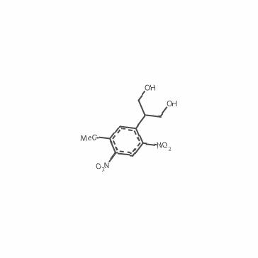 COc1cc(C(CO)CO)c([N+](=O)[O-])cc1[N+](=O)[O-]